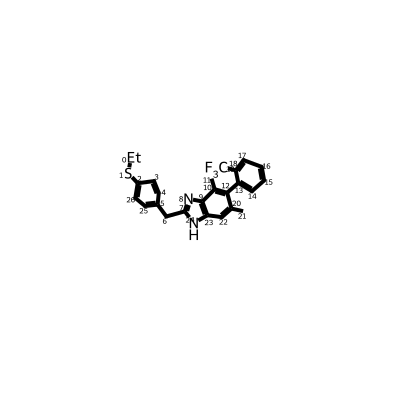 CCSc1ccc(Cc2nc3c(C)c(-c4ccccc4C(F)(F)F)c(C)cc3[nH]2)cc1